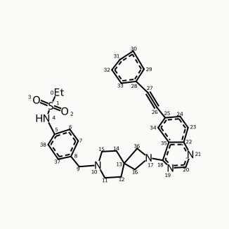 CCS(=O)(=O)Nc1ccc(CN2CCC3(CC2)CN(c2ncnc4ccc(C#Cc5ccccc5)cc24)C3)cc1